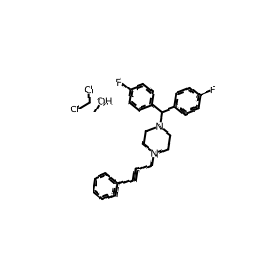 CO.ClCCl.Fc1ccc(C(c2ccc(F)cc2)N2CCN(C/C=C/c3ccccc3)CC2)cc1